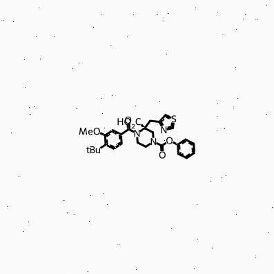 COc1cc(C(=O)N2CCN(C(=O)Oc3ccccc3)CC2(Cc2cscn2)C(=O)O)ccc1C(C)(C)C